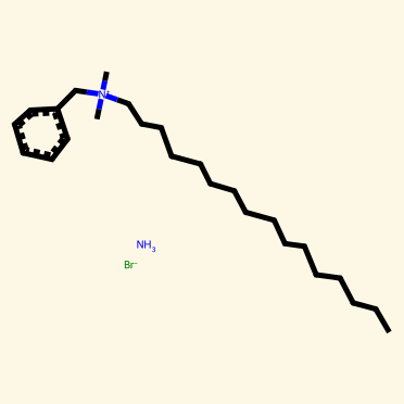 CCCCCCCCCCCCCCCC[N+](C)(C)Cc1ccccc1.N.[Br-]